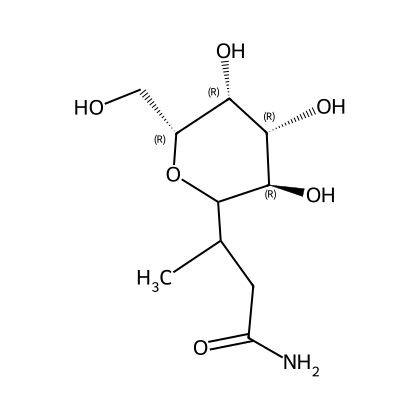 CC(CC(N)=O)C1O[C@H](CO)[C@H](O)[C@H](O)[C@H]1O